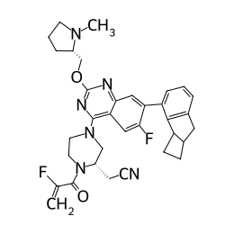 C=C(F)C(=O)N1CCN(c2nc(OC[C@@H]3CCCN3C)nc3cc(-c4cccc5c4C4CCC4C5)c(F)cc23)C[C@@H]1CC#N